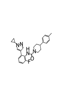 Cc1ccc(C2CCN(C(=O)Nc3c(F)cccc3-c3cnn(C4CC4)c3)CC2)cc1